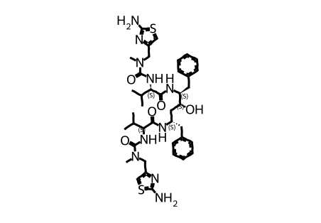 CC(C)[C@H](NC(=O)N(C)Cc1csc(N)n1)C(=O)N[C@@H](Cc1ccccc1)C[C@H](O)[C@H](Cc1ccccc1)NC(=O)[C@@H](NC(=O)N(C)Cc1csc(N)n1)C(C)C